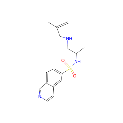 C=C(C)CNCC(C)NS(=O)(=O)c1ccc2cnccc2c1